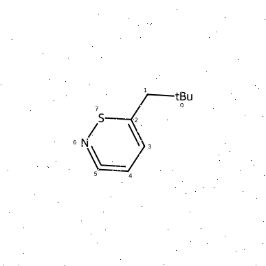 CC(C)(C)CC1=CC=C=NS1